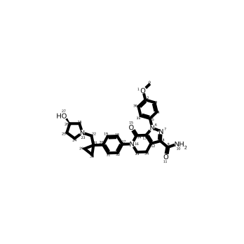 COc1ccc(-n2nc(C(N)=O)c3c2C(=O)N(c2ccc(C4(CN5CC[C@@H](O)C5)CC4)cc2)CC3)cc1